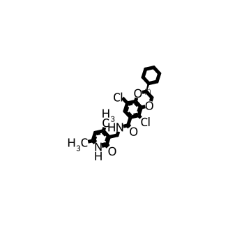 Cc1cc(C)c(CNC(=O)c2cc(Cl)c3c(c2Cl)OC[C@H](C2CCCCC2)O3)c(=O)[nH]1